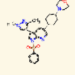 Cc1nn(C)cc1-c1cn(S(=O)(=O)c2ccccc2)c2ncc([C@H]3CC[C@@H](N4CCOCC4)CC3)cc12